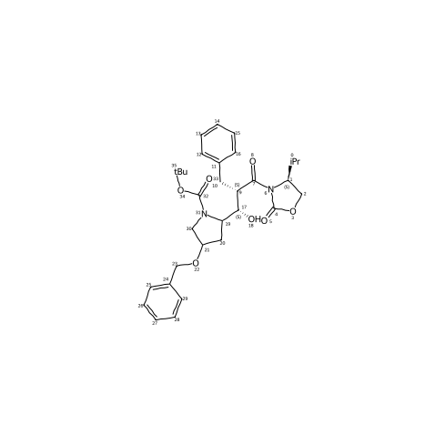 CC(C)[C@H]1COC(=O)N1C(=O)[C@@H](Cc1ccccc1)[C@H](O)C1CC(OCc2ccccc2)CN1C(=O)OC(C)(C)C